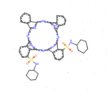 O=S(=O)(NC1CCCCC1)c1cccc2c1-c1nc-2nc2[nH]c(nc3nc(nc4[nH]c(n1)c1ccccc41)-c1ccccc1-3)c1cccc(S(=O)(=O)NC3CCCCC3)c21